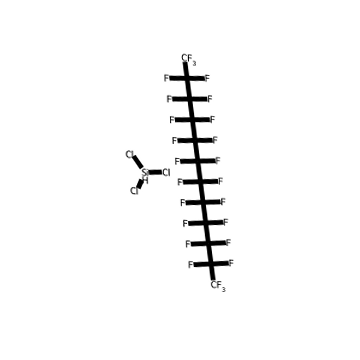 Cl[SiH](Cl)Cl.FC(F)(F)C(F)(F)C(F)(F)C(F)(F)C(F)(F)C(F)(F)C(F)(F)C(F)(F)C(F)(F)C(F)(F)C(F)(F)C(F)(F)F